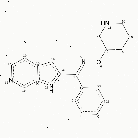 c1ccc(C(=NOC2CCCNC2)c2cc3ccncc3[nH]2)cc1